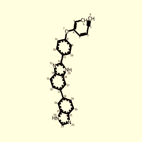 C#C/C=C\C(=C/C)Oc1ccc(-c2nc3ccc(-c4ccc5nc[nH]c5c4)cc3[nH]2)cc1